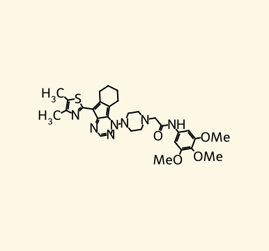 COc1cc(NC(=O)CN2CCN(n3ncnc4c(-c5nc(C)c(C)s5)c5c(c3-4)CCCC5)CC2)cc(OC)c1OC